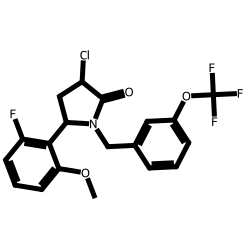 COc1cccc(F)c1C1CC(Cl)C(=O)N1Cc1cccc(OC(F)(F)F)c1